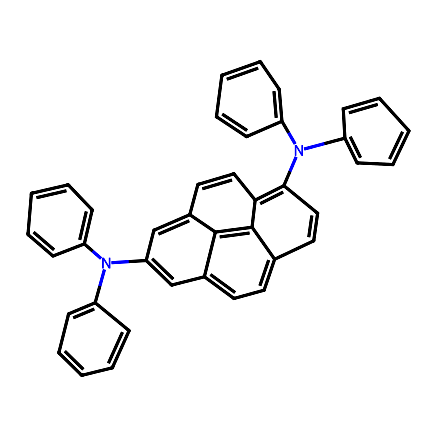 c1ccc(N(c2ccccc2)c2cc3ccc4ccc(N(c5ccccc5)c5ccccc5)c5ccc(c2)c3c45)cc1